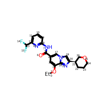 CCOc1cc(C(=O)Nc2cccc(C(F)F)n2)cn2cc([C@@H]3CCCOC3)nc12